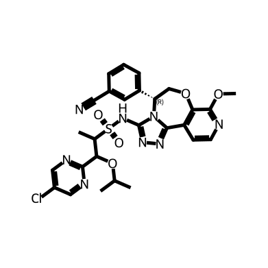 COc1nccc2c1OC[C@@H](c1cccc(C#N)c1)n1c(NS(=O)(=O)C(C)C(OC(C)C)c3ncc(Cl)cn3)nnc1-2